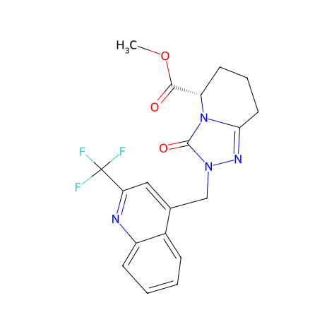 COC(=O)[C@@H]1CCCc2nn(Cc3cc(C(F)(F)F)nc4ccccc34)c(=O)n21